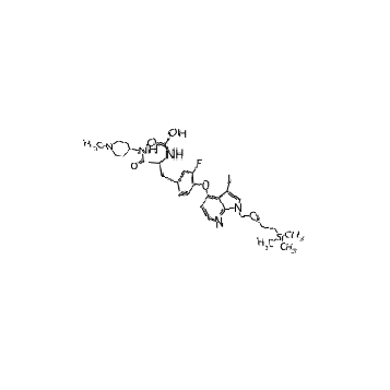 CN1CCC(NC(=O)[C@H](Cc2ccc(Oc3ccnc4c3c(I)cn4COCC[Si](C)(C)C)c(F)c2)NC(=O)O)CC1